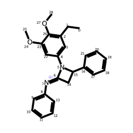 CCc1cc(N2/C(=N/c3ccccc3)CC2c2ccccc2)cc(OC)c1OC